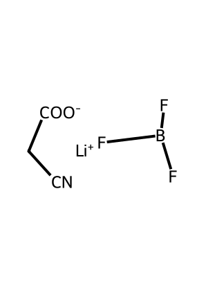 FB(F)F.N#CCC(=O)[O-].[Li+]